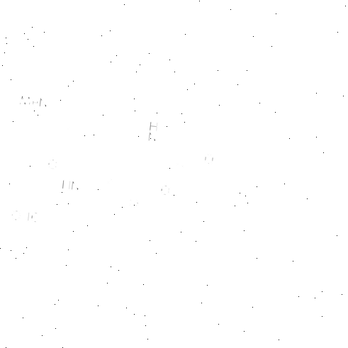 CNC(=O)CC(NC(=O)OCc1ccccc1)C(=O)NC[C]=O